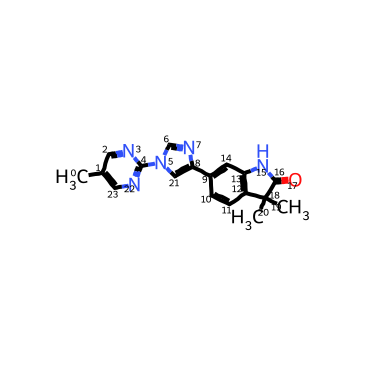 Cc1cnc(-n2cnc(-c3ccc4c(c3)NC(=O)C4(C)C)c2)nc1